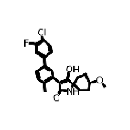 COC1CCC2(CC1)NC(=O)C(c1cc(-c3ccc(Cl)c(F)c3)ccc1C)=C2O